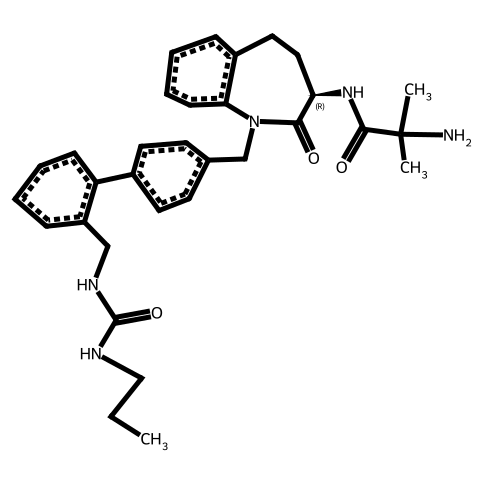 CCCNC(=O)NCc1ccccc1-c1ccc(CN2C(=O)[C@H](NC(=O)C(C)(C)N)CCc3ccccc32)cc1